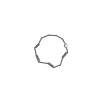 [CH]1/C=C/C/C=C/C=C\C=C\CCCC1